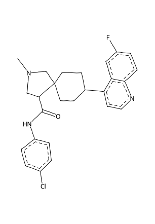 CN1CC(C(=O)Nc2ccc(Cl)cc2)C2(CCC(c3ccnc4ccc(F)cc34)CC2)C1